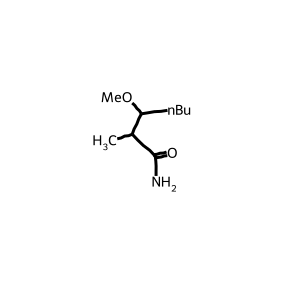 CCCCC(OC)C(C)C(N)=O